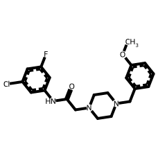 COc1cccc(CN2CCN(CC(=O)Nc3cc(F)cc(Cl)c3)CC2)c1